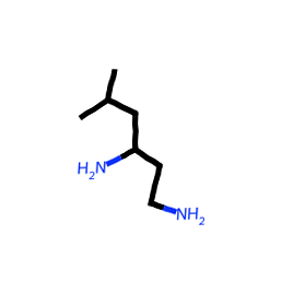 CC(C)CC(N)CCN